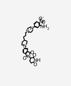 Nc1cc(N2CCN(CCCC3CCN(c4ccc5c(c4)C(=O)N(C4CCC(=O)NC4=O)C5=O)CC3)CC2)ccc1[N+](=O)[O-]